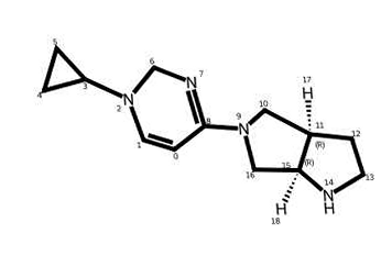 C1=CN(C2CC2)CN=C1N1C[C@H]2CCN[C@H]2C1